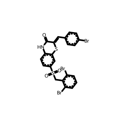 O=C1Nc2ccc(S(=O)(=O)Cc3c(Br)cccc3Br)cc2S/C1=C\c1ccc(Br)cc1